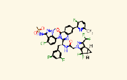 Cn1nc(NS(C)(=O)=O)c2c(Cl)ccc(-n3c([C@H](Cc4cc(F)cc(F)c4)NC(=O)Cn4nc(C(F)F)c5c4C(F)(F)[C@@H]4C[C@H]54)nc4cc(-c5nc(C(F)(F)F)ccc5F)ccc4c3=O)c21